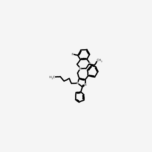 CCCCCn1c(-c2ccccc2)nc(-c2ccccc2)c1CN(CCCC)Cc1c(F)cccc1F